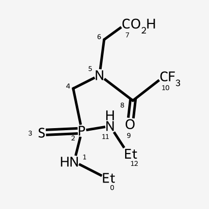 CCNP(=S)(CN(CC(=O)O)C(=O)C(F)(F)F)NCC